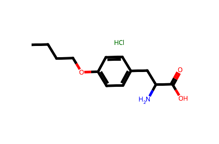 CCCCOc1ccc(CC(N)C(=O)O)cc1.Cl